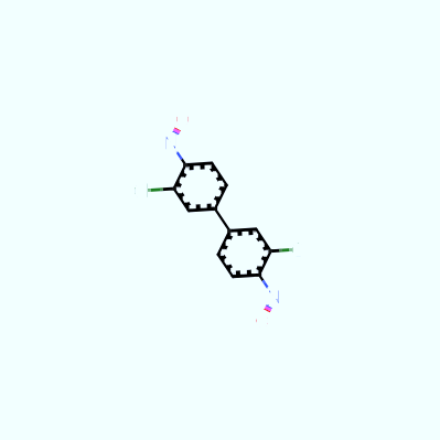 O=Nc1ccc(-c2ccc(N=O)c(Cl)c2)cc1Cl